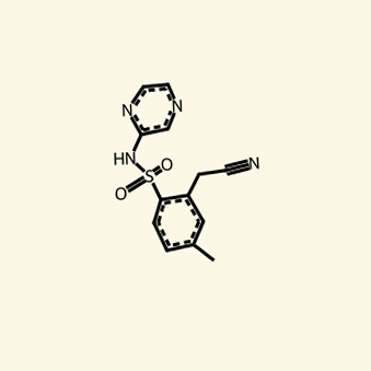 Cc1ccc(S(=O)(=O)Nc2cnccn2)c(CC#N)c1